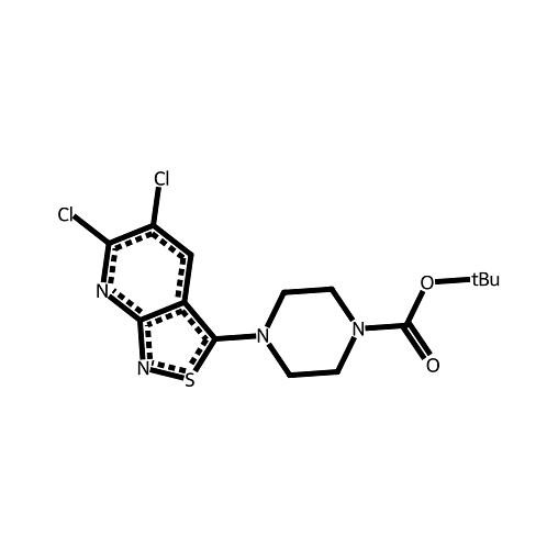 CC(C)(C)OC(=O)N1CCN(c2snc3nc(Cl)c(Cl)cc23)CC1